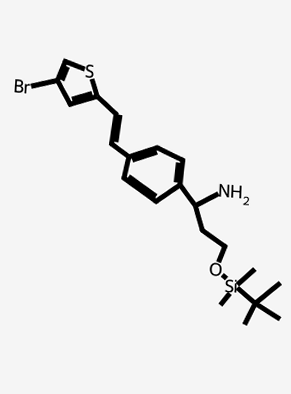 CC(C)(C)[Si](C)(C)OCCC(N)c1ccc(/C=C/c2cc(Br)cs2)cc1